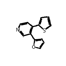 [c]1nccc(-c2cccs2)c1-c1ccco1